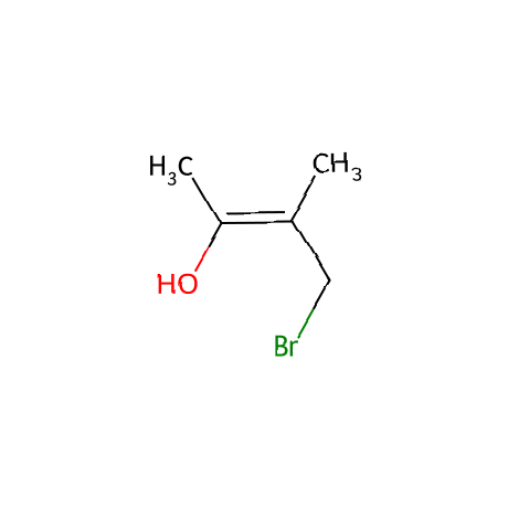 C/C(O)=C(\C)CBr